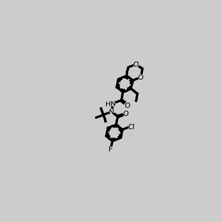 CCc1c(C(=O)NN(C(=O)c2ccc(F)cc2Cl)C(C)(C)C)ccc2c1OCOC2